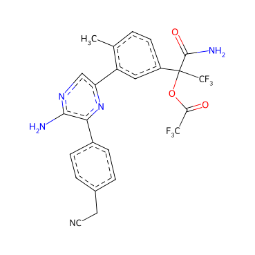 Cc1ccc(C(OC(=O)C(F)(F)F)(C(N)=O)C(F)(F)F)cc1-c1cnc(N)c(-c2ccc(CC#N)cc2)n1